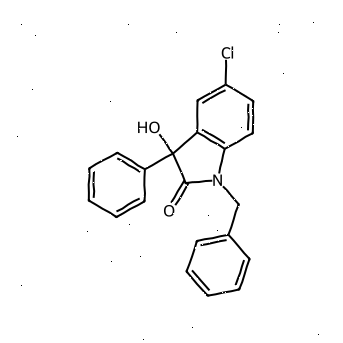 O=C1N(Cc2ccccc2)c2ccc(Cl)cc2C1(O)c1ccccc1